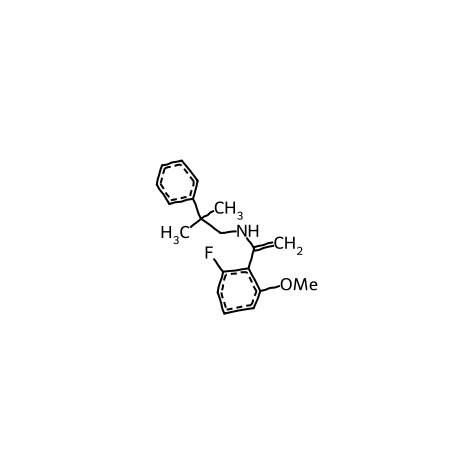 C=C(NCC(C)(C)c1ccccc1)c1c(F)cccc1OC